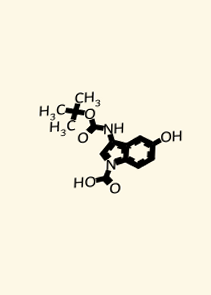 CC(C)(C)OC(=O)Nc1cn(C(=O)O)c2ccc(O)cc12